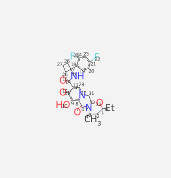 CC[C@H]1C[C@@H](C)N2C(=O)c3c(O)c(=O)c(C(=O)NC4(c5ccc(F)cc5F)CCC4)cn3CC2O1